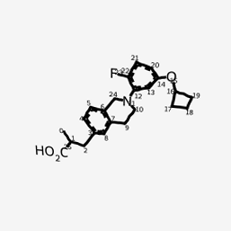 CC(Cc1ccc2c(c1)CCN(c1cc(OC3CCC3)ccc1F)C2)C(=O)O